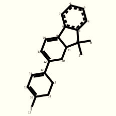 CC1(C)c2ccccc2C2=CC=C(C3=CC=C(I)CC3)CC21